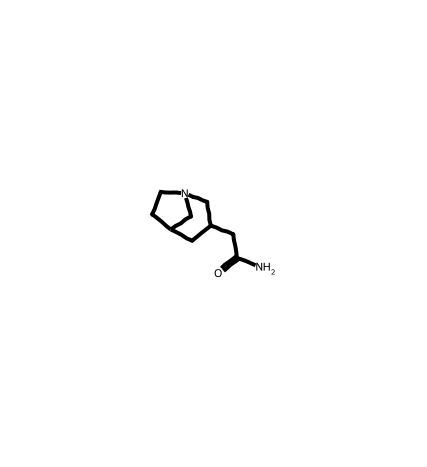 NC(=O)CC1CC2CCN(C2)C1